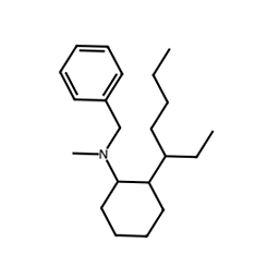 CCCCC(CC)C1CCCCC1N(C)Cc1ccccc1